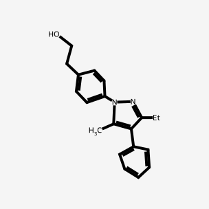 CCc1nn(-c2ccc(CCO)cc2)c(C)c1-c1ccccc1